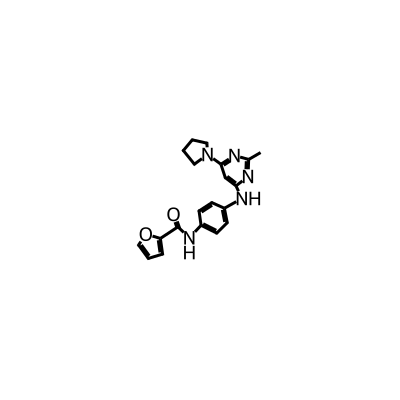 Cc1nc(Nc2ccc(NC(=O)c3ccco3)cc2)cc(N2CCCC2)n1